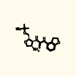 CC(C)(C)[Si](C)(C)OC[C@H]1OC[C@@H](N)[C@H]1NC(=S)Nc1cccc2c1CCO2